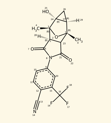 C[C@]12O[C@](C)([C@@H]3C(=O)N(c4ccc(C#N)c(C(F)(F)F)c4)C(=O)C31)[C@@]1(O)C[C@@H]21